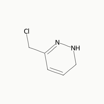 ClCC1=NNCC=C1